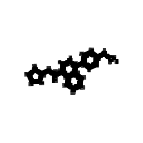 FC(F)(F)Oc1ccc(-c2nnc(NCC3CCCO3)c3cnccc23)cc1